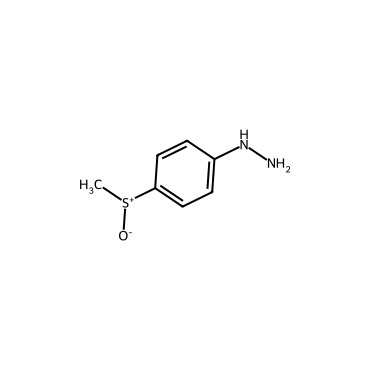 C[S+]([O-])c1ccc(NN)cc1